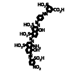 Nc1c(N=Nc2ccc3c(O)c(N=Nc4ccc(N=Nc5cc(C(=O)O)cc(C(=O)O)c5)cc4)c(S(=O)(=O)O)cc3c2S(=O)(=O)O)cc(S(=O)(=O)O)c2ccc(N=Nc3ccc([N+](=O)[O-])cc3S(=O)(=O)O)c(O)c12